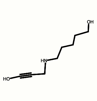 OC#CCNCCCCCO